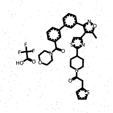 Cc1onc(-c2cccc(-c3cccc(C(=O)N4CCOCC4)c3)c2)c1-c1csc(C2CCN(C(=O)Cc3cccs3)CC2)n1.O=C(O)C(F)(F)F